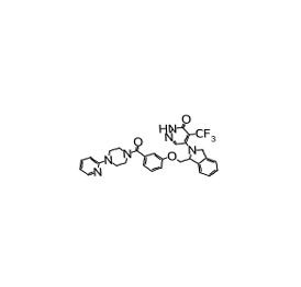 O=C(c1cccc(OCC2c3ccccc3CN2c2cn[nH]c(=O)c2C(F)(F)F)c1)N1CCN(c2ccccn2)CC1